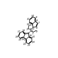 C[CH2][Ti]([CH2]C)([CH]1C=Cc2ccccc21)[CH]1c2ccccc2-c2ccccc21